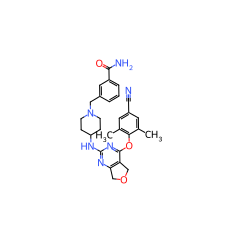 Cc1cc(C#N)cc(C)c1Oc1nc(NC2CCN(Cc3cccc(C(N)=O)c3)CC2)nc2c1COC2